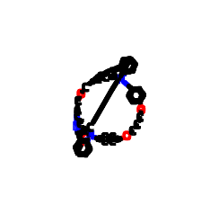 c1cc2c3cc1COCc1ccc4c(c1)c1nc5ccc1n4-c1ccc(cc1)OCCCOc1ccc(cc1)-n2c1ccc(cc31)COC5